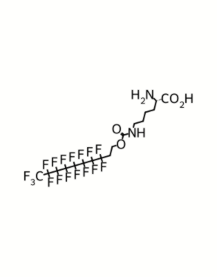 N[C@@H](CCCCNC(=O)OCCC(F)(F)C(F)(F)C(F)(F)C(F)(F)C(F)(F)C(F)(F)C(F)(F)C(F)(F)F)C(=O)O